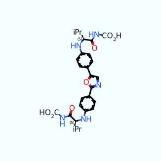 CC(C)[C@H](Nc1ccc(-c2cnc(-c3ccc(N[C@H](C(=O)NC(=O)O)C(C)C)cc3)o2)cc1)C(=O)NC(=O)O